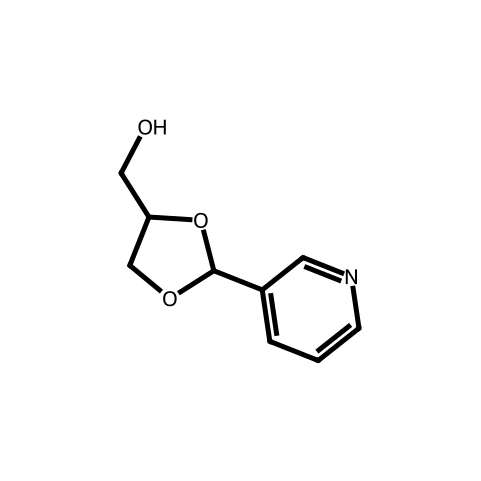 OCC1COC(c2cccnc2)O1